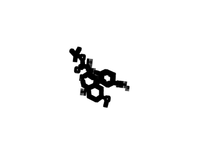 CO[C@H]1CC[C@H]2CSC(NC(=O)OC(C)(C)C)=N[C@@]2(c2cc(N)ccc2F)C1